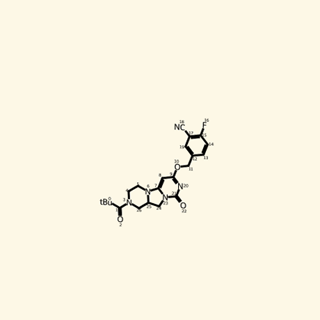 CC(C)(C)C(=O)N1CCN2c3cc(OCc4ccc(F)c(C#N)c4)nc(=O)n3CC2C1